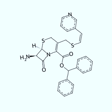 N[C@@H]1C(=O)N2C(C(=O)OC(c3ccccc3)c3ccccc3)=C(CS/C=C\c3cccnc3)CS[C@H]12